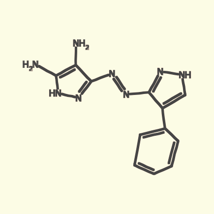 Nc1[nH]nc(N=Nc2n[nH]cc2-c2ccccc2)c1N